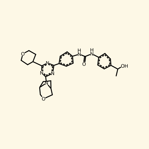 CC(O)c1ccc(NC(=O)Nc2ccc(-c3nc(C4CCOCC4)nc(N4C5CCC4COC5)n3)cc2)cc1